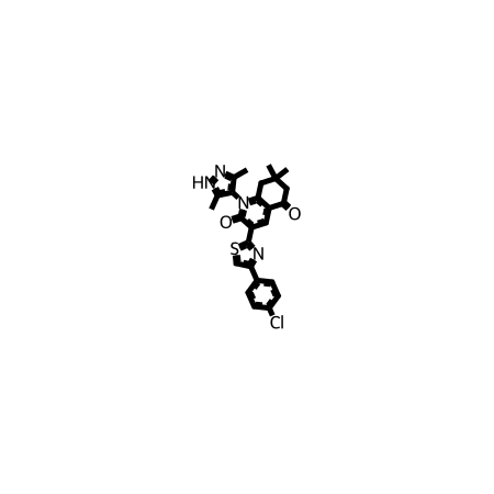 Cc1n[nH]c(C)c1-n1c2c(cc(-c3nc(-c4ccc(Cl)cc4)cs3)c1=O)C(=O)CC(C)(C)C2